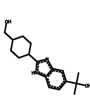 CC(C)(O)c1ccc2[nH]c(C3CCC(CO)CC3)nc2c1